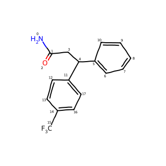 NC(=O)CC(c1ccccc1)c1ccc(C(F)(F)F)cc1